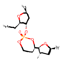 [2H]C[C@H]1O[C@@H]([3H])C[C@@H]1O[P@]1(=O)OCC[C@H]([C@H]2O[C@@H]([3H])C[C@@H]2C)O1